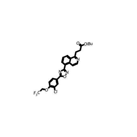 CC(C)COC(=O)CCc1nccc2c(-c3noc(-c4ccc(OCC(F)(F)F)c(Cl)c4)n3)cccc12